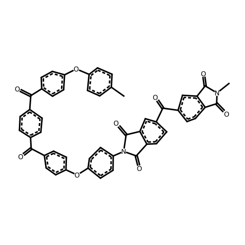 Cc1ccc(Oc2ccc(C(=O)c3ccc(C(=O)c4ccc(Oc5ccc(N6C(=O)c7ccc(C(=O)c8ccc9c(c8)C(=O)N(C)C9=O)cc7C6=O)cc5)cc4)cc3)cc2)cc1